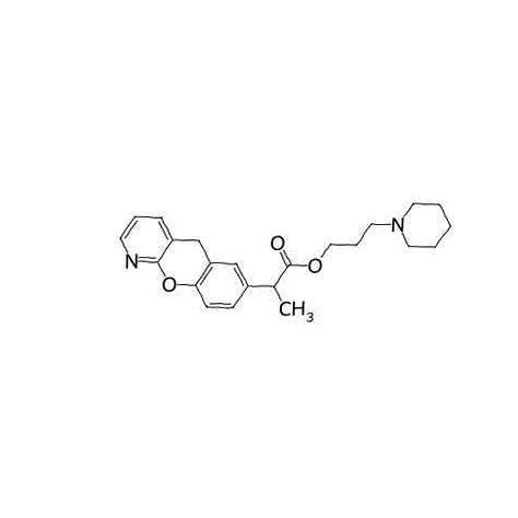 CC(C(=O)OCCCN1CCCCC1)c1ccc2c(c1)Cc1cccnc1O2